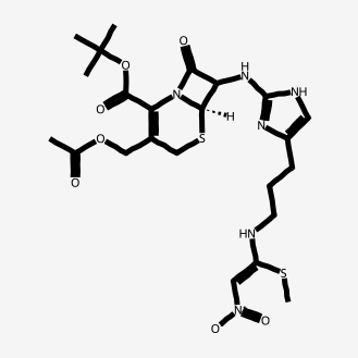 CS/C(=C\[N+](=O)[O-])NCCCc1c[nH]c(NC2C(=O)N3C(C(=O)OC(C)(C)C)=C(COC(C)=O)CS[C@H]23)n1